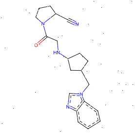 N#CC1CCCN1C(=O)CNC1CCC(Cn2cnc3ccccc32)C1